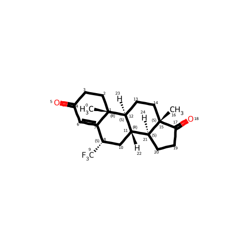 C[C@]12CCC(=O)C=C1[C@@H](C(F)(F)F)C[C@@H]1[C@@H]2CC[C@]2(C)C(=O)CC[C@@H]12